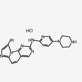 CC(C)c1cnc2ccc3cnc(Nc4ccc(N5CCNCC5)cn4)nc3n12.Cl